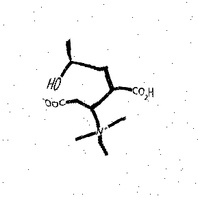 C[C@H](O)CC(C(=O)O)C(C(=O)[O-])[N+](C)(C)C